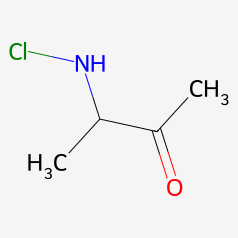 CC(=O)C(C)NCl